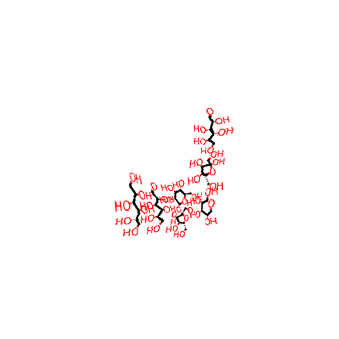 O=C[C@@H](O)[C@@H](O)[C@H](O)[C@H](O)CO.O=C[C@H](O)[C@@H](O)[C@H](O)[C@H](O)CO.OC1OC[C@@H](O)[C@H](O)[C@H]1O.OC[C@@H](O)[C@@H](O)[C@H](O)[C@@H](O)CO.OC[C@H]1O[C@@](CO)(O[C@H]2O[C@H](CO)[C@@H](O)[C@H](O)[C@H]2O)[C@@H](O)[C@@H]1O.OC[C@H]1O[C@](O)(CO)[C@@H](O)[C@@H]1O